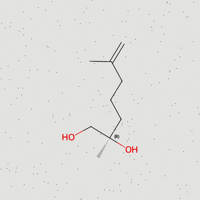 C=C(C)CCC[C@@](C)(O)CO